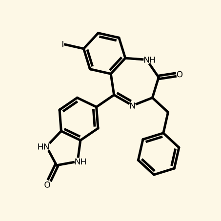 O=C1Nc2ccc(I)cc2C(c2ccc3[nH]c(=O)[nH]c3c2)=NC1Cc1ccccc1